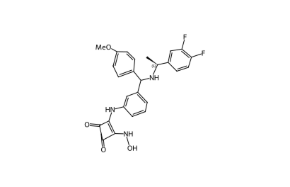 COc1ccc(C(N[C@@H](C)c2ccc(F)c(F)c2)c2cccc(Nc3c(NO)c(=O)c3=O)c2)cc1